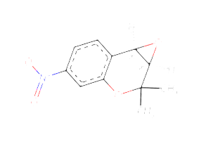 CC1(C)Oc2cc([N+](=O)[O-])ccc2[C@H]2O[C@H]21